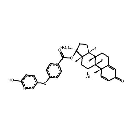 C[C@]12C=CC(=O)C=C1CC[C@H]1[C@@H]3CC[C@@](OC(=O)c4ccc(Oc5ccc(O)nc5)cc4)(C(=O)O)[C@@]3(C)C[C@H](O)C12F